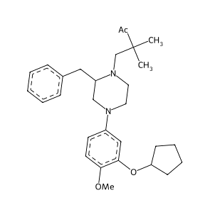 COc1ccc(N2CCN(CC(C)(C)C(C)=O)C(Cc3ccccc3)C2)cc1OC1CCCC1